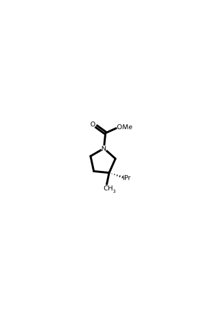 COC(=O)N1CC[C@@](C)(C(C)C)C1